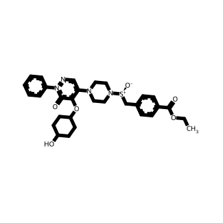 CCOC(=O)c1ccc(C[S@@+]([O-])N2CCN(c3cnn(-c4ccccc4)c(=O)c3OC3CCC(O)CC3)CC2)cc1